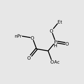 CCCOC(=O)C(OC(C)=O)[PH](=O)OCC